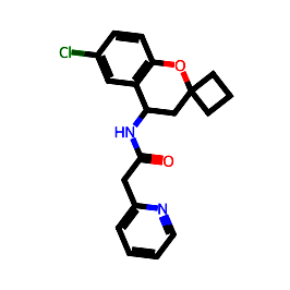 O=C(Cc1ccccn1)NC1CC2(CCC2)Oc2ccc(Cl)cc21